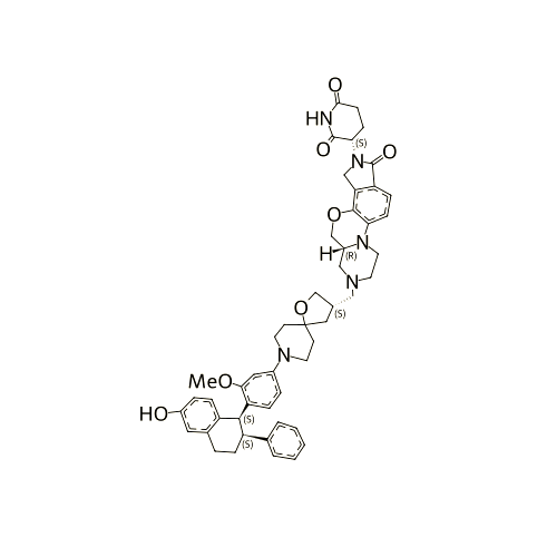 COc1cc(N2CCC3(CC2)C[C@@H](CN2CCN4c5ccc6c(c5OC[C@H]4C2)CN([C@H]2CCC(=O)NC2=O)C6=O)CO3)ccc1[C@@H]1c2ccc(O)cc2CC[C@@H]1c1ccccc1